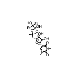 CCC(O)(CC)P(=O)(O)OC(C)(C)C[C@H]1O[C@@H](c2cn(C)c(=O)n(C)c2=O)[C@H](O)[C@@H]1O